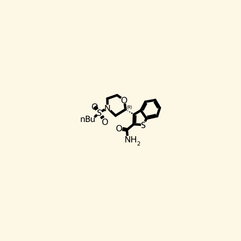 CCCCS(=O)(=O)N1CCO[C@H](c2c(C(N)=O)sc3ccccc23)C1